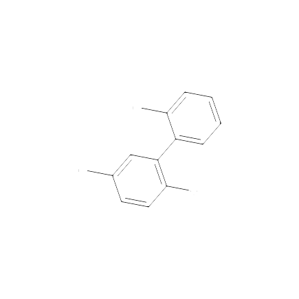 [O]c1ccc(Cl)cc1-c1ccccc1Cl